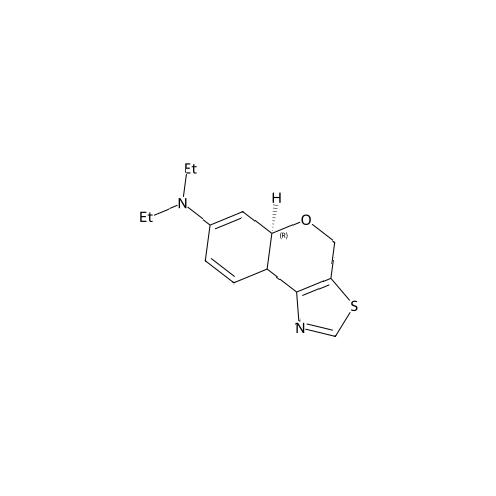 CCN(CC)C1=C[C@H]2OCc3scnc3C2C=C1